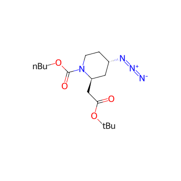 CCCCOC(=O)N1CC[C@H](N=[N+]=[N-])C[C@H]1CC(=O)OC(C)(C)C